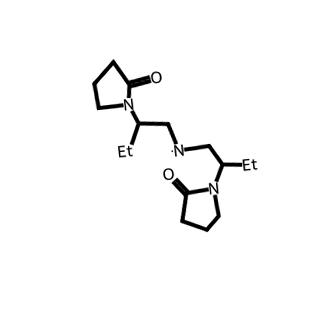 CCC(C[N]CC(CC)N1CCCC1=O)N1CCCC1=O